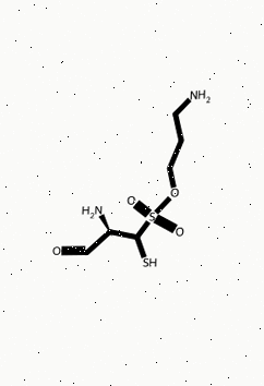 NCCCOS(=O)(=O)C(S)[C@H](N)C=O